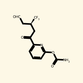 NC(=O)Oc1cccc(C(=O)C[C@@H](CC=O)C(F)(F)F)n1